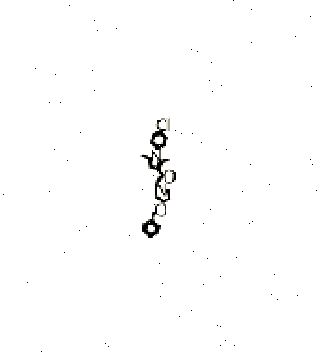 Cc1cc(C(=O)CN2CCC(OCc3ccccc3)C2)c(C)n1-c1ccc(Cl)cc1